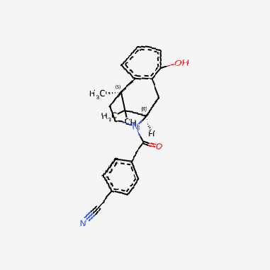 CC1(C)[C@H]2Cc3c(O)cccc3[C@]1(C)CCN2C(=O)c1ccc(C#N)cc1